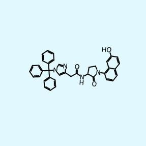 O=C(Cc1cn(C(c2ccccc2)(c2ccccc2)c2ccccc2)cn1)NC1CCN(c2cccc3ccc(O)cc23)C1=O